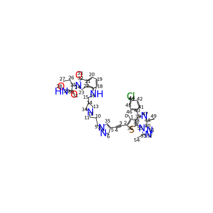 Cc1c(C#Cc2cnn(CCCN3CC(CNc4cccc5c4CN(C4CCONC4=O)C5=O)C3)c2)sc2c1C(c1ccc(Cl)cc1)=N[C@@H](C)c1nnc(C)n1-2